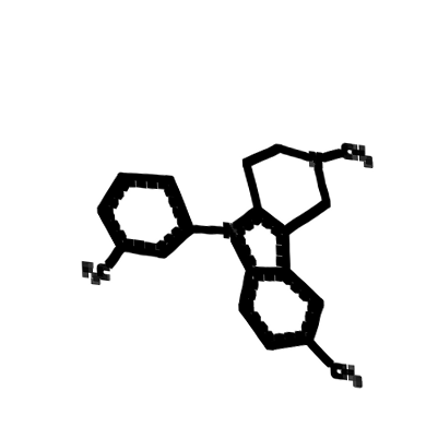 Cc1ccc2c(c1)c1c(n2-c2cccc(C(F)(F)F)c2)CCN(C)C1